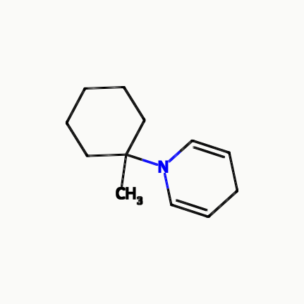 CC1(N2C=CCC=C2)CCCCC1